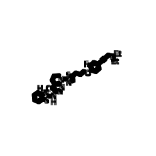 CCN(CC)CC#Cc1ccc(OCCCc2cnc(N3CCCc4c3nnc(Nc3nc5ccccc5s3)c4C)s2)c(F)c1